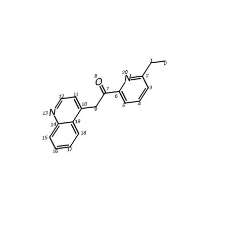 CCc1cccc(C(=O)Cc2ccnc3ccccc23)n1